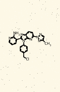 Cc1cnn(-c2ccc3nc(-c4cccnc4N)n(-c4ccc(CCl)cc4)c3n2)n1